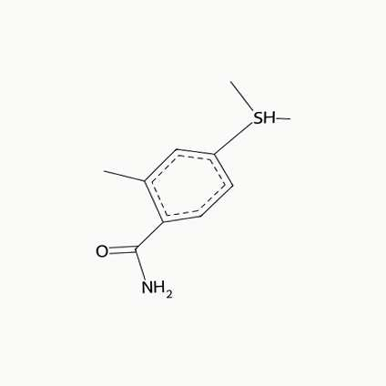 Cc1cc([SH](C)C)ccc1C(N)=O